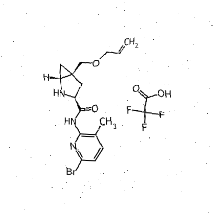 C=CCOC[C@@]12C[C@@H](C(=O)Nc3nc(Br)ccc3C)N[C@@H]1C2.O=C(O)C(F)(F)F